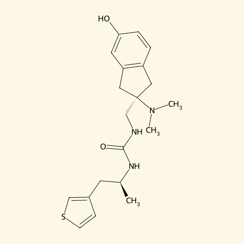 C[C@@H](Cc1ccsc1)NC(=O)NC[C@@]1(N(C)C)Cc2ccc(O)cc2C1